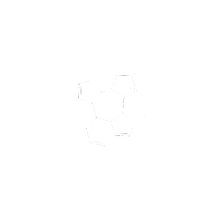 Cl.c1cc(-c2ccsc2)c2c(C3=NCCN3)occ2c1